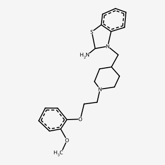 COc1ccccc1OCCN1CCC(CN2c3ccccc3SC2N)CC1